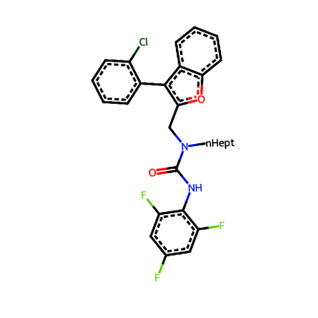 CCCCCCCN(Cc1oc2ccccc2c1-c1ccccc1Cl)C(=O)Nc1c(F)cc(F)cc1F